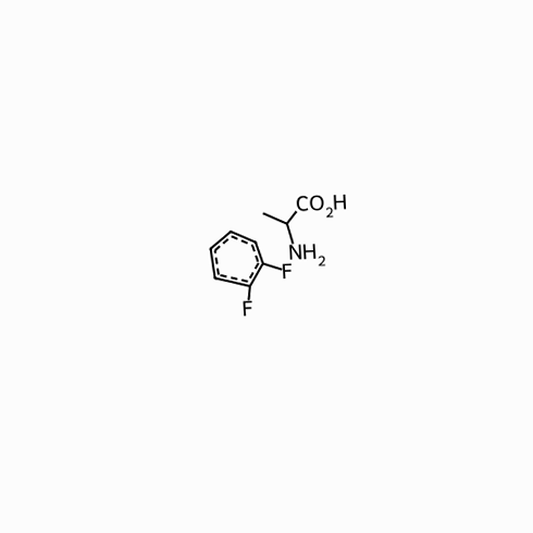 CC(N)C(=O)O.Fc1ccccc1F